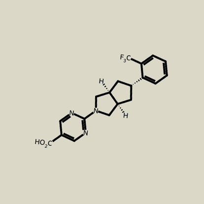 O=C(O)c1cnc(N2C[C@H]3C[C@H](c4ccccc4C(F)(F)F)C[C@H]3C2)nc1